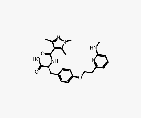 CNc1cccc(CCOc2ccc(C[C@H](NC(=O)c3c(C)nn(C)c3C)C(=O)O)cc2)n1